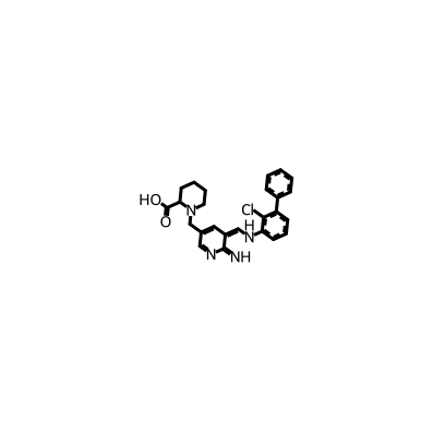 N=C1N=CC(CN2CCCCC2C(=O)O)=C/C1=C/Nc1cccc(-c2ccccc2)c1Cl